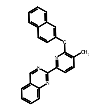 Cc1ccc(-c2ncc3ccccc3n2)nc1Oc1ccc2ccccc2c1